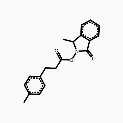 Cc1ccc(CCC(=O)ON2C(=O)c3ccccc3C2C)cc1